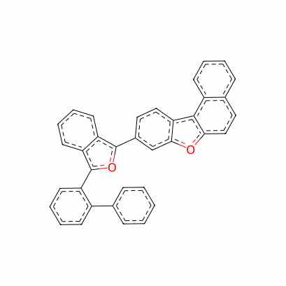 c1ccc(-c2ccccc2-c2oc(-c3ccc4c(c3)oc3ccc5ccccc5c34)c3ccccc23)cc1